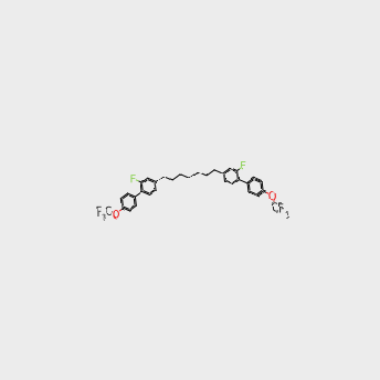 Fc1cc(CCCCCCCc2ccc(-c3ccc(OC(F)(F)F)cc3)c(F)c2)ccc1-c1ccc(OC(F)(F)F)cc1